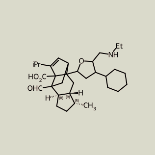 CCNCC1OC(C23C[C@@H]4[C@H](C)CC[C@H]4C4(C=O)CC2C=C(C(C)C)C34C(=O)O)CC1C1CCCCC1